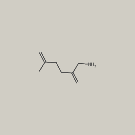 C=C(C)CCC(=C)CN